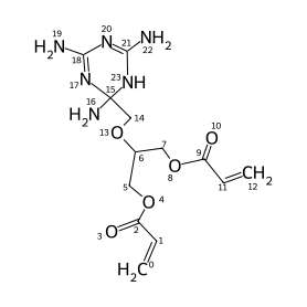 C=CC(=O)OCC(COC(=O)C=C)OCC1(N)N=C(N)N=C(N)N1